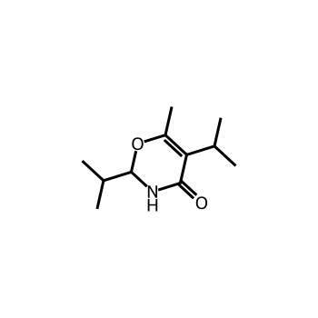 CC1=C(C(C)C)C(=O)NC(C(C)C)O1